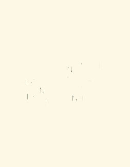 C[N+](C)(C)Cc1c[nH]c2cc(F)cnc12.[I-]